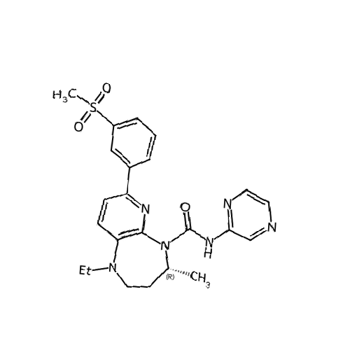 CCN1CC[C@@H](C)N(C(=O)Nc2cnccn2)c2nc(-c3cccc(S(C)(=O)=O)c3)ccc21